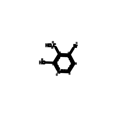 O=C(O)c1c(Br)ccnc1O